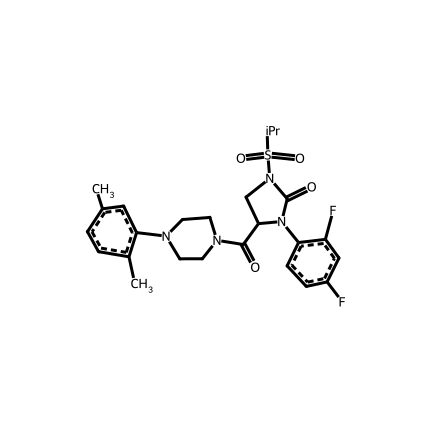 Cc1ccc(C)c(N2CCN(C(=O)C3CN(S(=O)(=O)C(C)C)C(=O)N3c3ccc(F)cc3F)CC2)c1